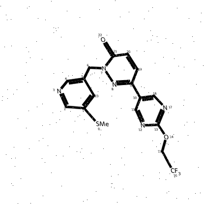 CSc1cncc(Cn2nc(-c3cnc(OCC(F)(F)F)nc3)ccc2=O)c1